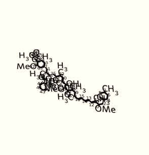 CO[C@@H](C[C@@H]1CC[C@@H](C)CO1)/C(C)=C/C=C/C=C/[C@@H](C)C[C@@H](C)C(=O)[C@H](OC)[C@H](O)/C(C)=C/[C@@H](C)C(=O)C[C@H](OC(=O)[C@@H]1CCCCN1C(=O)C(=O)O)[C@H](C)C[C@@H]1CCC(OP(C)(C)=O)[C@H](OC)C1